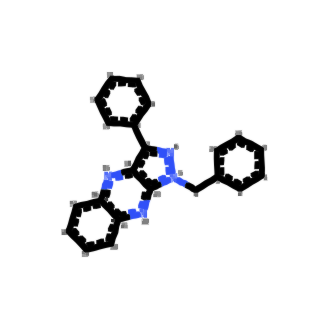 c1ccc(Cn2nc(-c3ccccc3)c3nc4ccccc4nc32)cc1